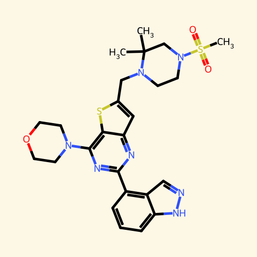 CC1(C)CN(S(C)(=O)=O)CCN1Cc1cc2nc(-c3cccc4[nH]ncc34)nc(N3CCOCC3)c2s1